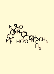 CC(C)Cn1cc(-c2ccc(NC(=O)C3(c4ccc(OC(F)(F)F)cc4F)CC3)cc2C(=O)O)cn1